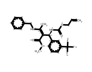 C=CCOC(=O)N[C@H](/C(C(=O)OC)=C(\C)NCc1ccccc1)c1cccc(C(F)(F)F)c1